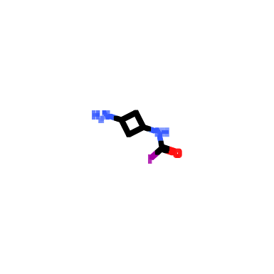 NC1CC(NC(=O)I)C1